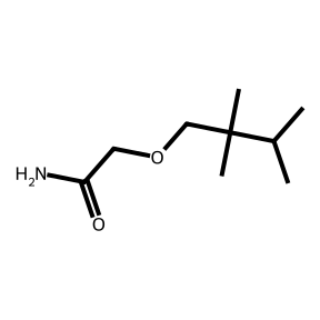 CC(C)C(C)(C)COCC(N)=O